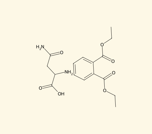 CCOC(=O)c1ccccc1C(=O)OCC.NC(=O)CC(N)C(=O)O